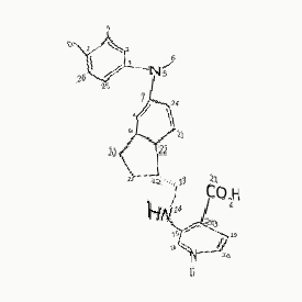 Cc1ccc(N(C)C2=CC3CC[C@@H](CNc4cnccc4C(=O)O)C3C=C2)cc1